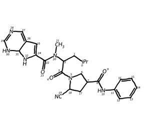 CC(C)CC(C(=O)N1CC(C(=O)Nc2ccccc2)CC1C#N)N(C)C(=O)C1=CC2=CN=CNC2N1